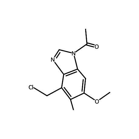 COc1cc2c(ncn2C(C)=O)c(CCl)c1C